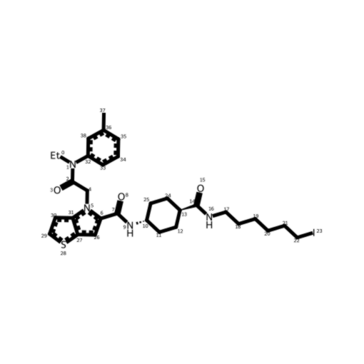 CCN(C(=O)Cn1c(C(=O)N[C@H]2CC[C@H](C(=O)NCCCCCCI)CC2)cc2sccc21)c1cccc(C)c1